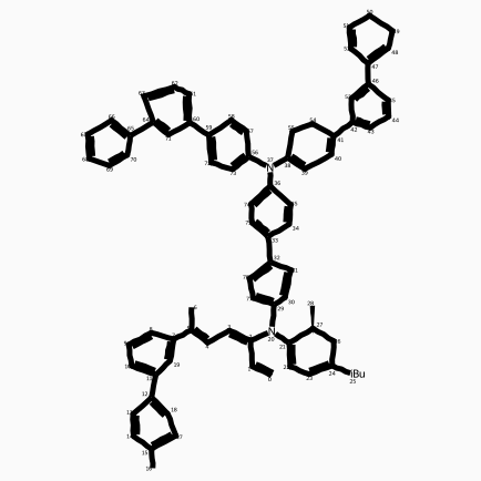 C=C/C(=C\C=C(/C)c1cccc(-c2ccc(C)cc2)c1)N(C1=CC=C(C(C)CC)C[C@@H]1C)c1ccc(-c2ccc(N(C3=CC=C(c4cccc(C5=CCCC=C5)c4)CC3)c3ccc(-c4cccc(-c5ccccc5)c4)cc3)cc2)cc1